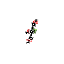 C=CC(=O)Oc1ccc(C#Cc2cc(C(F)(F)F)c(C#Cc3ccc(OC(=O)C=C)cc3)cc2OC(=O)C(=C)C)cc1